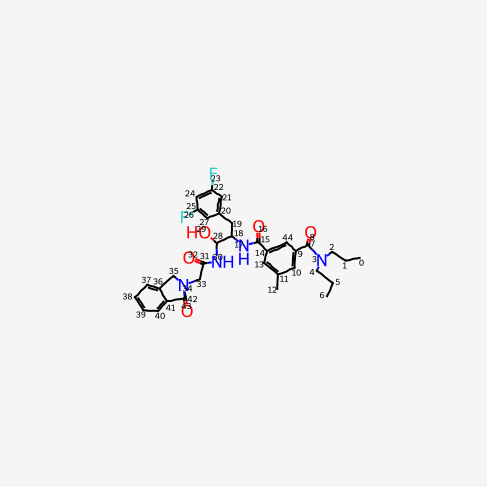 CCCN(CCC)C(=O)c1cc(C)cc(C(=O)NC(Cc2cc(F)cc(F)c2)C(O)NC(=O)CN2Cc3ccccc3C2=O)c1